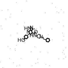 Cc1n[nH]c2nc(-c3ccc(O)cc3)cc(C(=O)NC3CCN(CCc4ccccc4)CC3)c12